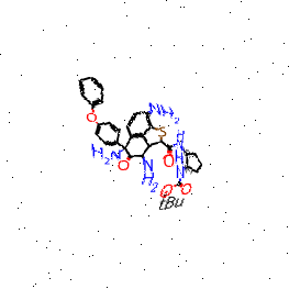 CC(C)(C)OC(=O)N[C@@H]1CCC[C@@H]1NC(=O)C1Sc2c(N)ccc3c2C1C(N)C(=O)C3(N)c1ccc(Oc2ccccc2)cc1